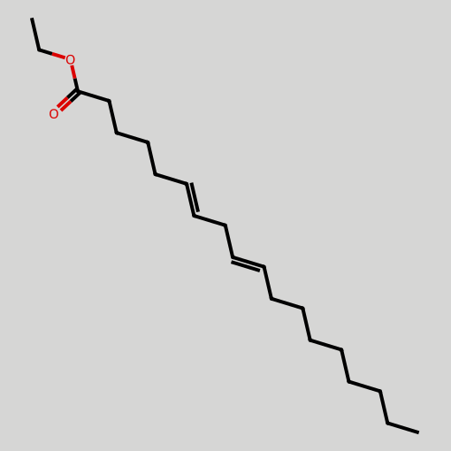 CCCCCCCCC=CCC=CCCCCC(=O)OCC